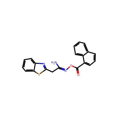 NC(Cc1nc2ccccc2s1)=NOC(=O)c1cccc2ccccc12